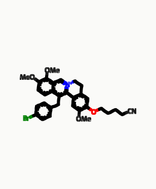 COc1cc2c(cc1OCCCCC#N)CC[n+]1cc3c(OC)c(OC)ccc3c(Cc3ccc(Br)cc3)c1-2